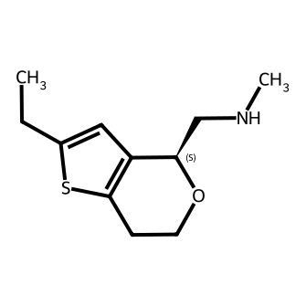 CCc1cc2c(s1)CCO[C@@H]2CNC